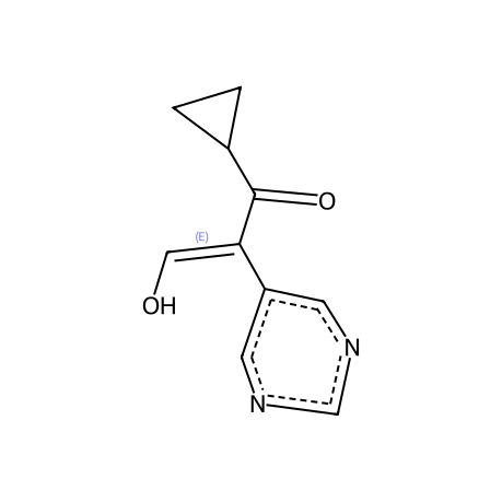 O=C(/C(=C/O)c1cncnc1)C1CC1